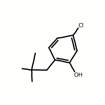 CC(C)(C)Cc1ccc(Cl)cc1O